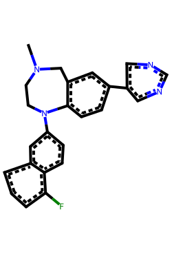 CN1CCN(c2ccc3c(F)cccc3c2)c2ccc(-c3cncnc3)cc2C1